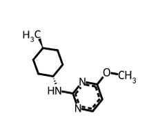 COc1ccnc(N[C@H]2CC[C@H](C)CC2)n1